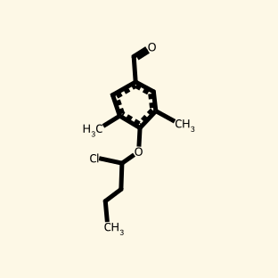 CCCC(Cl)Oc1c(C)cc(C=O)cc1C